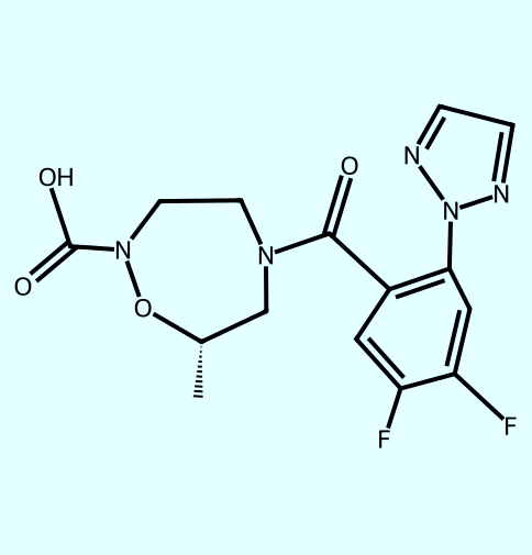 C[C@H]1CN(C(=O)c2cc(F)c(F)cc2-n2nccn2)CCN(C(=O)O)O1